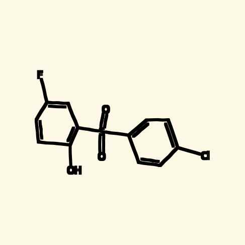 O=S(=O)(c1ccc(Cl)cc1)c1cc(F)ccc1O